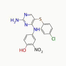 Nc1ncc(Sc2ccc(Cl)cc2)c(Nc2ccc(O)c([N+](=O)[O-])c2)n1